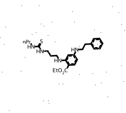 CCCNC(=S)NCCCNc1cc(NCCc2ccccc2)ccc1C(=O)OCC